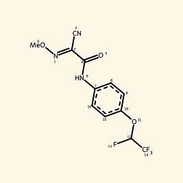 CON=C(C#N)C(=O)Nc1ccc(OC(F)C(F)(F)F)cc1